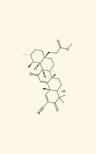 COC(=O)CC[C@]12CC[C@@H](C)[C@H](C)[C@H]1[C@H]1C(=O)C=C3[C@@]4(C)C=C(C#N)C(=O)C(C)(C)[C@@H]4CC[C@@]3(C)[C@]1(C)CC2